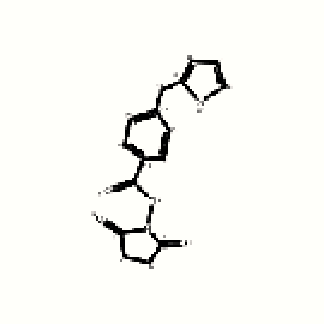 O=C(ON1C(=O)CCC1=O)c1ccc(Cc2cccs2)cc1